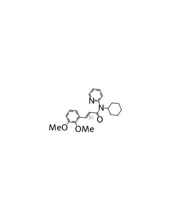 COc1cccc(/C=C/C(=O)N(c2ccccn2)C2CCCCC2)c1OC